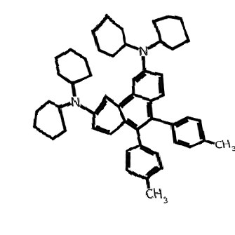 Cc1ccc(-c2c(-c3ccc(C)cc3)c3ccc(N(C4CCCCC4)C4CCCCC4)cc3c3cc(N(C4CCCCC4)C4CCCCC4)ccc23)cc1